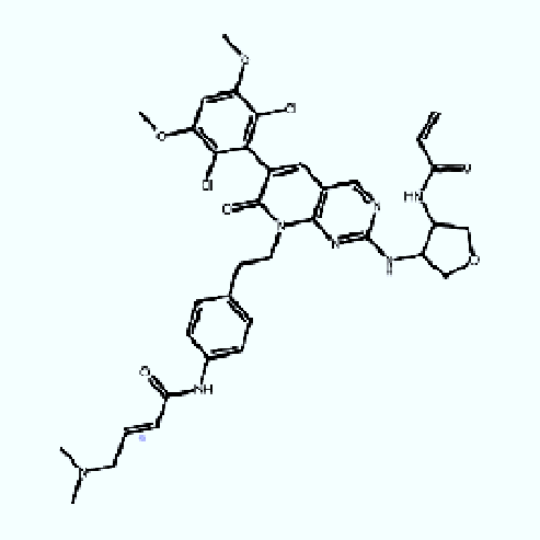 C=CC(=O)NC1COCC1Nc1ncc2cc(-c3c(Cl)c(OC)cc(OC)c3Cl)c(=O)n(CCc3ccc(NC(=O)/C=C/CN(C)C)cc3)c2n1